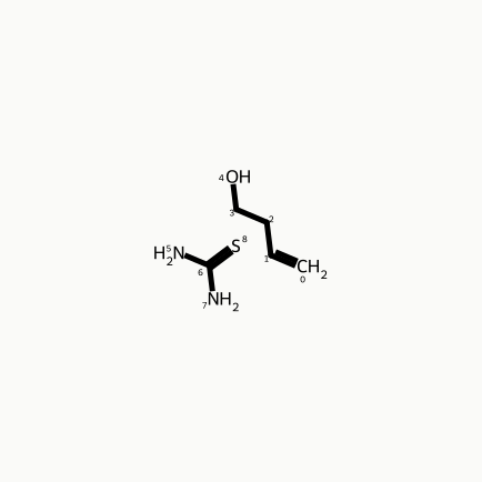 C=CCCO.NC(N)=S